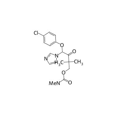 CNC(=O)OCC(C)(C)C(=O)C(Oc1ccc(Cl)cc1)n1ccnc1